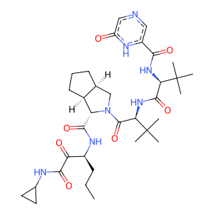 CCC[C@H](NC(=O)[C@@H]1[C@H]2CCC[C@H]2CN1C(=O)[C@@H](NC(=O)[C@@H](NC(=O)c1cncc(=O)[nH]1)C(C)(C)C)C(C)(C)C)C(=O)C(=O)NC1CC1